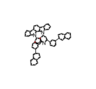 c1ccc(-n2c3ccccc3c3ccc4c5ccccc5n(-c5cc(-c6cccc(-c7ccc8ccccc8c7)c6)nc(-c6cccc(-c7ccc8ccccc8c7)c6)c5)c4c32)cc1